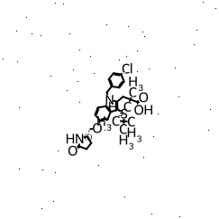 CC(C)(C)Sc1c(CC(C)(C)C(=O)O)n(Cc2ccc(Cl)cc2)c2ccc(OC[C@@H]3CCC(=O)N3)cc12